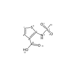 CS(=O)(=O)Nc1sccc1C(=O)O